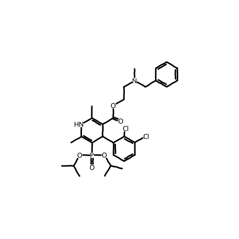 CC1=C(C(=O)OCCN(C)Cc2ccccc2)C(c2cccc(Cl)c2Cl)C(P(=O)(OC(C)C)OC(C)C)=C(C)N1